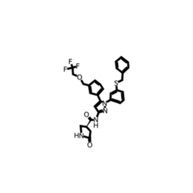 O=C1C[C@H](C(=O)Nc2cc(-c3cccc(COCC(F)(F)F)c3)n(-c3cccc(SCc4ccccc4)c3)n2)CN1